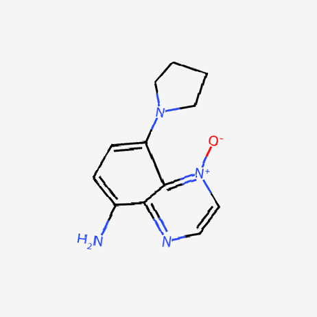 Nc1ccc(N2CCCC2)c2c1ncc[n+]2[O-]